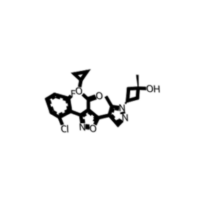 Cc1c(-c2onc(-c3c(F)cccc3Cl)c2C(=O)OC2CC2)cnn1[C@H]1C[C@@](C)(O)C1